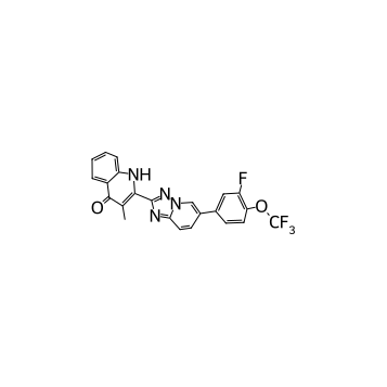 Cc1c(-c2nc3ccc(-c4ccc(OC(F)(F)F)c(F)c4)cn3n2)[nH]c2ccccc2c1=O